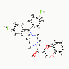 O=C(C1COc2ccccc2O1)N1CCN(C(c2ccc(F)cc2)c2ccc(F)cc2)CC1